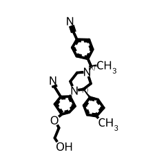 Cc1ccc([C@@H]2CN([C@H](C)c3ccc(C#N)cc3)CCN2c2ccc(OCCO)cc2C#N)cc1